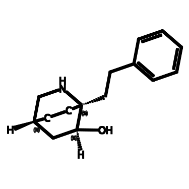 O[C@H]1C[C@H]2CC[C@@]1(CCc1ccccc1)NC2